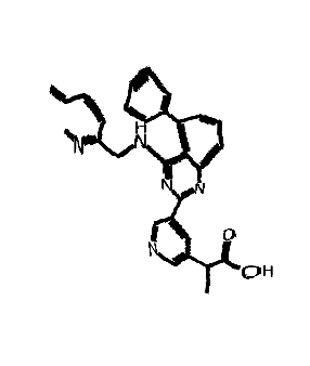 C=C/C=C\C(CNc1nc(-c2cncc(C(C)C(=O)O)c2)nc2cccc(-c3ccccc3)c12)=N/C